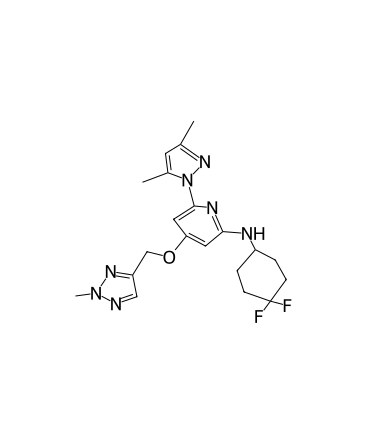 Cc1cc(C)n(-c2cc(OCc3cnn(C)n3)cc(NC3CCC(F)(F)CC3)n2)n1